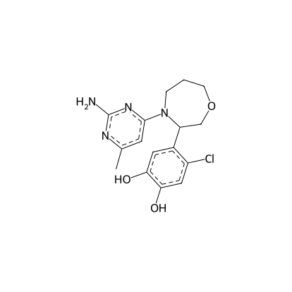 Cc1cc(N2CCCOCC2c2cc(O)c(O)cc2Cl)nc(N)n1